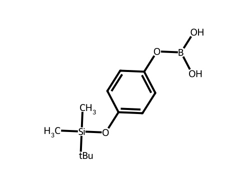 CC(C)(C)[Si](C)(C)Oc1ccc(OB(O)O)cc1